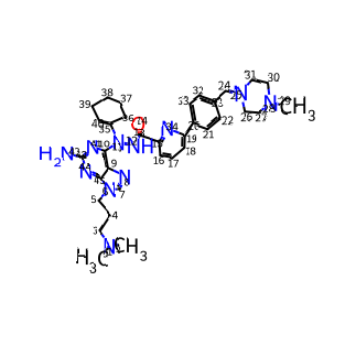 CN(C)CCCn1cnc2c(N(NC(=O)c3cccc(-c4ccc(CN5CCN(C)CC5)cc4)n3)C3CCCCC3)nc(N)nc21